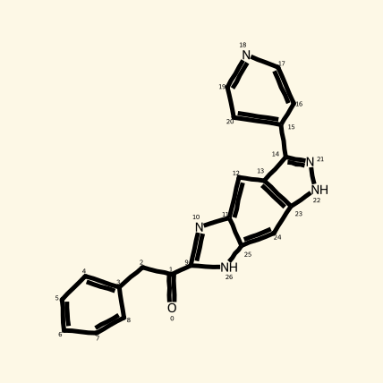 O=C(Cc1ccccc1)c1nc2cc3c(-c4ccncc4)n[nH]c3cc2[nH]1